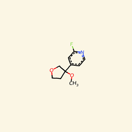 COC1(c2ccnc(F)c2)CCOC1